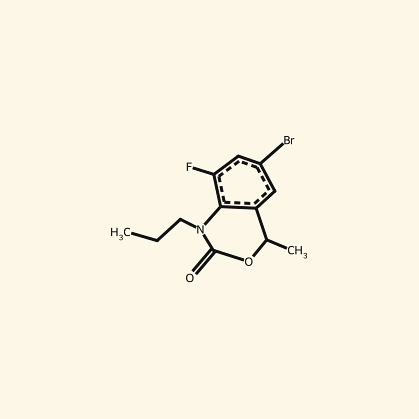 CCCN1C(=O)OC(C)c2cc(Br)cc(F)c21